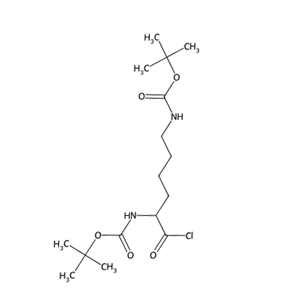 CC(C)(C)OC(=O)NCCCCC(NC(=O)OC(C)(C)C)C(=O)Cl